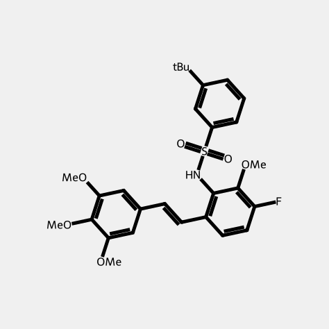 COc1cc(C=Cc2ccc(F)c(OC)c2NS(=O)(=O)c2cccc(C(C)(C)C)c2)cc(OC)c1OC